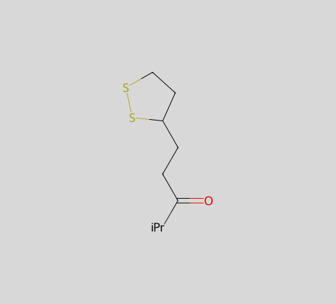 CC(C)C(=O)CCC1CCSS1